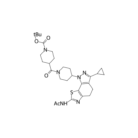 CC(=O)Nc1nc2c(s1)-c1c(c(C3CC3)nn1C1CCN(C(=O)C3CCN(C(=O)OC(C)(C)C)CC3)CC1)CC2